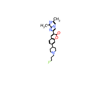 Cc1cn2cc(-c3cc4ccc(C5CCN(CCCF)CC5)cc4oc3=O)nc2c(C)n1